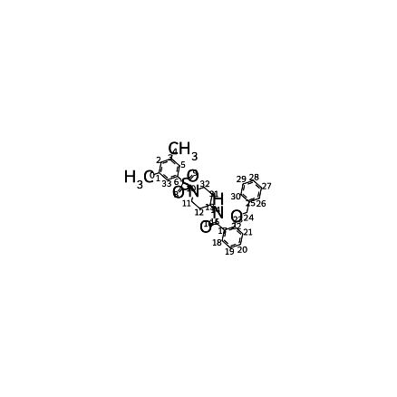 Cc1cc(C)cc(S(=O)(=O)N2CCC(NC(=O)c3ccccc3OCc3ccccc3)CC2)c1